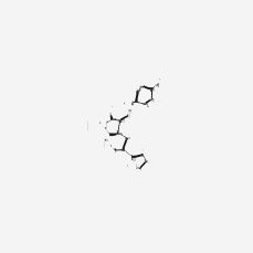 O=C1Nc2ncc(-c3ccco3)cc2C1=CNc1ccc(I)cc1